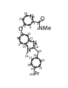 CNC(=O)c1cc(Oc2ccc3c(c2)nc(Cc2ccc(C(C)C)cc2)n3C)ccn1